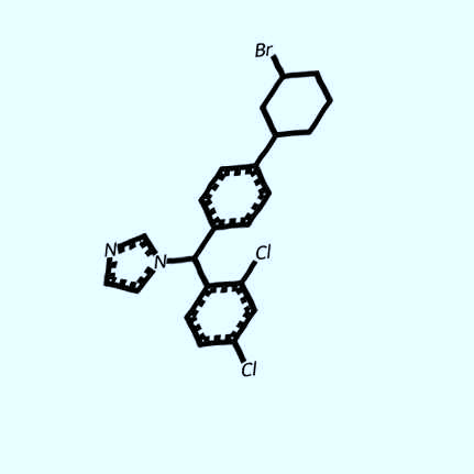 Clc1ccc(C(c2ccc(C3CCCC(Br)C3)cc2)n2ccnc2)c(Cl)c1